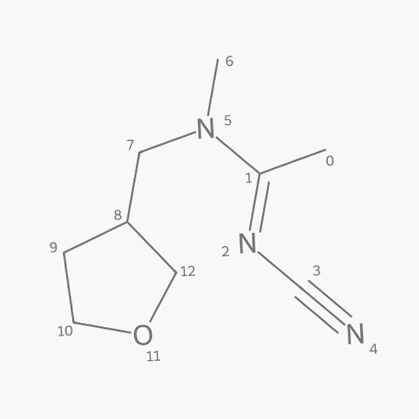 CC(=NC#N)N(C)CC1CCOC1